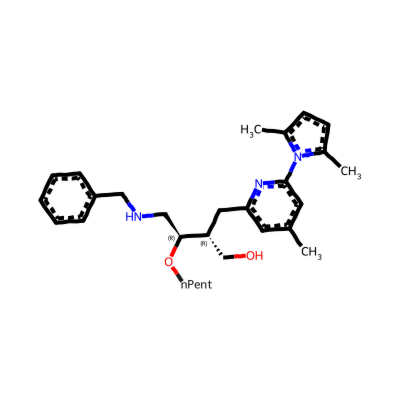 CCCCCO[C@@H](CNCc1ccccc1)[C@@H](CO)Cc1cc(C)cc(-n2c(C)ccc2C)n1